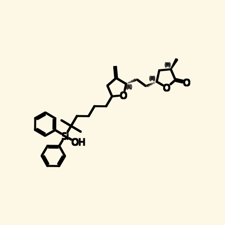 C=C1CC(CCCCC(C)(C)[Si](O)(c2ccccc2)c2ccccc2)O[C@H]1CC[C@@H]1C[C@@H](C)C(=O)O1